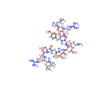 CN[C@@H](CC(C)C)C(=O)N[C@@H](CCCNC(=N)N)C(=O)N[C@@H](CO)C(=O)NCC(=O)N[C@H](C(=O)N[C@@H](CC(=O)O)C(=O)N[C@@H](CCCCN)C(=O)N[C@@H](Cc1ccc(O)cc1)C(=O)N[C@@H](CCCNC(=N)N)C(=O)N[C@@H](CC(C)C)C(N)=O)[C@@H](C)O